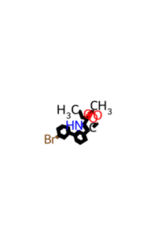 CCCC1(OC(C)=O)OCCc2c1[nH]c1c(-c3cccc(Br)c3)cccc21